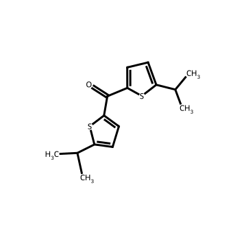 CC(C)c1ccc(C(=O)c2ccc(C(C)C)s2)s1